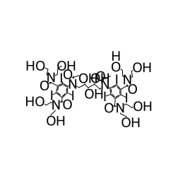 CC(=O)N(CC(O)C(O)C(O)CN(C(C)=O)c1c(I)c(C(=O)N(CCO)CCO)c(I)c(C(=O)N(CCO)CCO)c1I)c1c(I)c(C(=O)N(CCO)CCO)c(I)c(C(=O)N(CCO)CCO)c1I